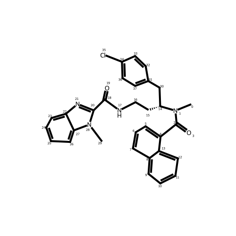 CN(C(=O)c1cccc2ccccc12)[C@H](CCNC(=O)c1nc2ccccc2n1C)Cc1ccc(Cl)cc1